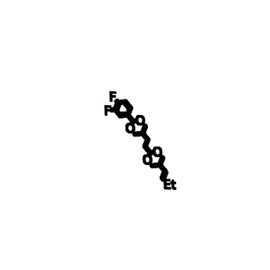 CCC=CC1COC(CCC2COC(c3ccc(F)c(F)c3)OC2)OC1